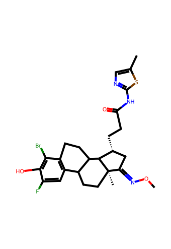 CO/N=C1\C[C@@H](CCC(=O)Nc2ncc(C)s2)C2C3CCc4c(cc(F)c(O)c4Br)C3CC[C@]12C